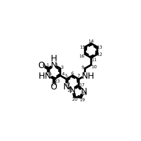 O=c1[nH]cc(-c2cc(NCCc3ccccc3)c3nccn3n2)c(=O)[nH]1